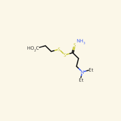 CCN(CC)CCC(=S)SSCCC(=O)O.N